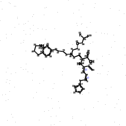 C=C/C(=N\C=N/Cn1cccn1)N[C@@H](CCN(CCCCc1ccc2c(n1)NCCC2)CCOCC(F)F)C(=O)O